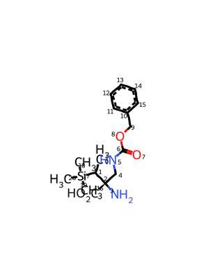 CC([C@@](N)(CNC(=O)OCc1ccccc1)C(=O)O)[Si](C)(C)C